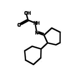 O=C(O)NN=C1CCCCC1C1CCCCC1